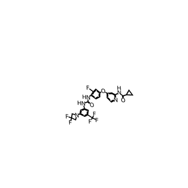 O=C(Nc1cc(N2CC(F)(F)C2)cc(C(F)(F)F)c1)Nc1ccc(Oc2ccnc(NC(=O)C3CC3)c2)cc1F